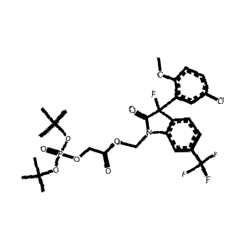 COc1ccc(Cl)cc1C1(F)C(=O)N(COC(=O)COP(=O)(OC(C)(C)C)OC(C)(C)C)c2cc(C(F)(F)F)ccc21